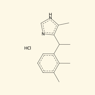 Cc1cccc(C(C)c2nc[nH]c2C)c1C.Cl